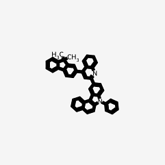 CC1(C)c2ccccc2-c2ccc(-c3cc(-c4ccc5c(c4)c4c6ccccc6ccc4n5-c4ccccc4)nc4c3=CCCC=4)cc21